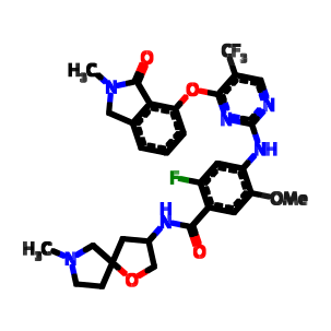 COc1cc(C(=O)NC2COC3(CCN(C)C3)C2)c(F)cc1Nc1ncc(C(F)(F)F)c(Oc2cccc3c2C(=O)N(C)C3)n1